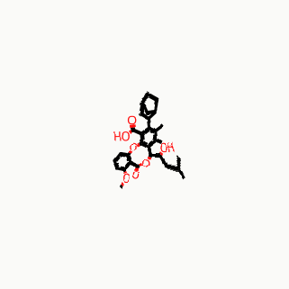 COc1cccc2c1C(=O)OC(C(O)CC(C)C)c1c(C)c(C)c(C3CC4CCC3C4)c(C(=O)O)c1O2